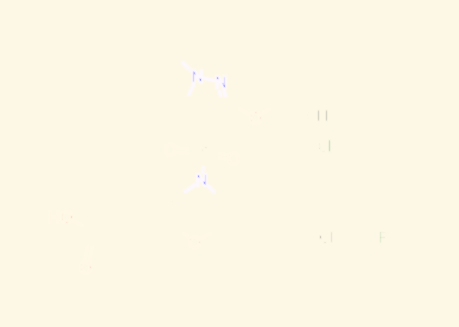 CCOc1nn2c(c1S(=O)(=O)N1CC(CCC(=O)O)Oc3ccc(C=C(C)c4c(F)cccc4Cl)cc31)CCCC2